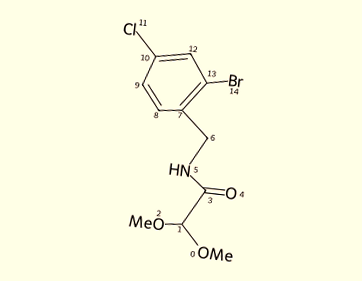 COC(OC)C(=O)NCc1ccc(Cl)cc1Br